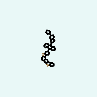 c1ccc(-c2ccc3ccc(-c4c5ccccc5c(-c5ccc6c(c5)sc5ccc7cc8sc9ccccc9c8cc7c56)c5ccccc45)cc3c2)cc1